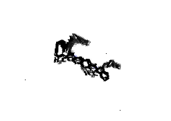 CCCCCCCCCCN1/C(=C/C2=CC3=C/C(=C/C4=[N+](CCCCCCCCCC)c5ccccc5C4(C)C)CCC3CC2)C(C)(C)c2ccccc21